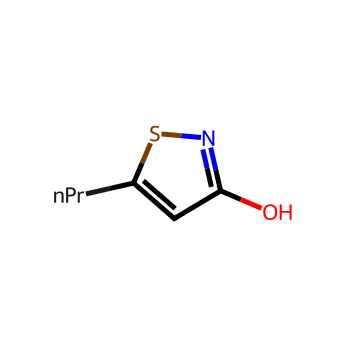 CCCc1cc(O)ns1